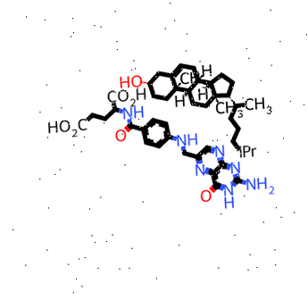 CC(C)CCCC(C)[C@H]1CC[C@H]2[C@@H]3CC=C4C[C@@H](O)CC[C@]4(C)[C@H]3CC[C@]12C.Nc1nc2ncc(CNc3ccc(C(=O)NC(CCC(=O)O)C(=O)O)cc3)nc2c(=O)[nH]1